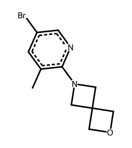 Cc1cc(Br)cnc1N1CC2(COC2)C1